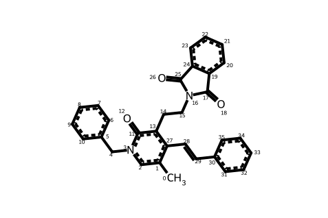 Cc1cn(Cc2ccccc2)c(=O)c(CCN2C(=O)c3ccccc3C2=O)c1C=Cc1ccccc1